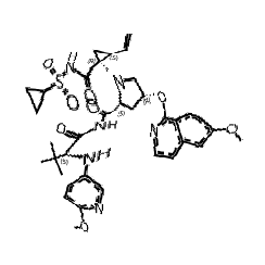 C=C[C@@H]1C[C@@]1(C(=O)NS(=O)(=O)C1CC1)N1C[C@H](Oc2nccc3cc(OC)ccc23)C[C@H]1C(=O)NC(=O)[C@@H](Nc1ccc(OC)nc1)C(C)(C)C